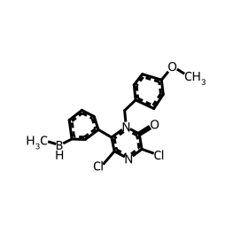 CBc1cccc(-c2c(Cl)nc(Cl)c(=O)n2Cc2ccc(OC)cc2)c1